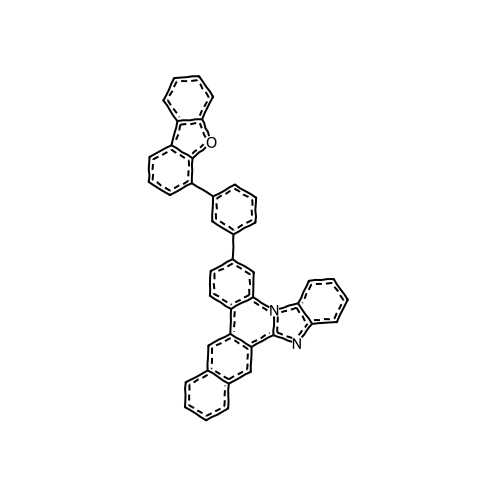 c1cc(-c2ccc3c4cc5ccccc5cc4c4nc5ccccc5n4c3c2)cc(-c2cccc3c2oc2ccccc23)c1